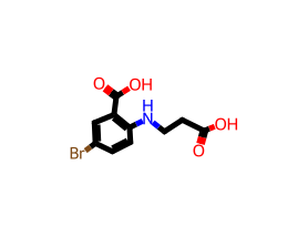 O=C(O)CCNc1ccc(Br)cc1C(=O)O